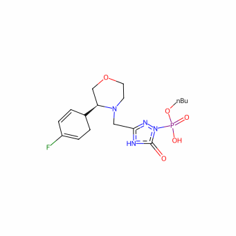 CCCCOP(=O)(O)n1nc(CN2CCOC[C@@H]2C2C=CC(F)=CC2)[nH]c1=O